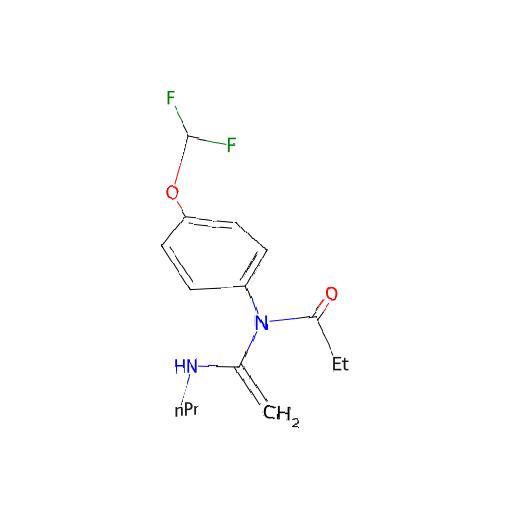 C=C(NCCC)N(C(=O)CC)c1ccc(OC(F)F)cc1